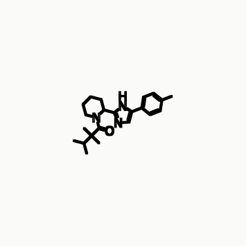 Cc1ccc(-c2cnc(C3CCCCN3C(=O)C(C)(C)C(C)C)[nH]2)cc1